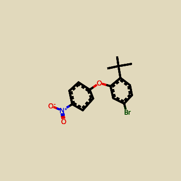 CC(C)(C)c1ccc(Br)cc1Oc1ccc([N+](=O)[O-])cc1